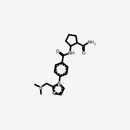 CN(C)Cc1nccn1-c1ccc(C(=O)NC2CCCC2C(N)=O)cc1